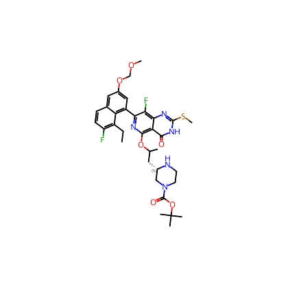 CCc1c(F)ccc2cc(OCOC)cc(-c3nc(OC(C)C[C@H]4CN(C(=O)OC(C)(C)C)CCN4)c4c(=O)[nH]c(SC)nc4c3F)c12